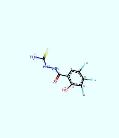 NC(=S)NNC(=O)c1cc(F)c(F)c(F)c1O